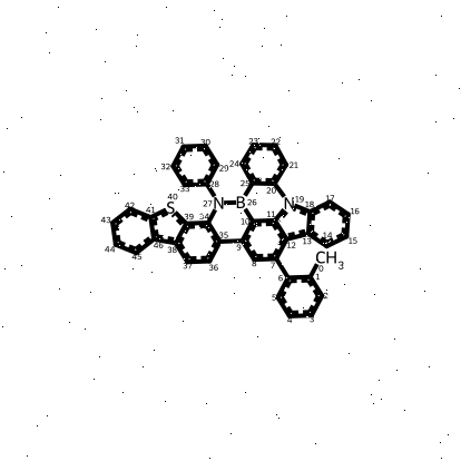 Cc1ccccc1-c1cc2c3c4c1c1ccccc1n4-c1ccccc1B3N(c1ccccc1)c1c-2ccc2c1sc1ccccc12